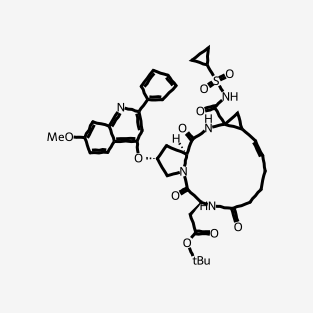 COc1ccc2c(O[C@@H]3C[C@H]4C(=O)NC5(C(=O)NS(=O)(=O)C6CC6)CC5C=CCCCC(=O)N[C@@H](CC(=O)OC(C)(C)C)C(=O)N4C3)cc(-c3ccccc3)nc2c1